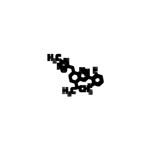 Cc1noc(CC2CCC(C(C)C)c3cc(-c4c(F)cccc4F)nnc32)n1